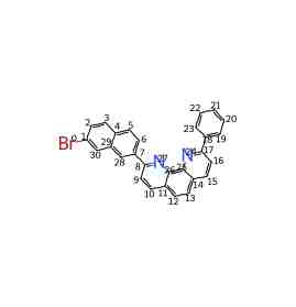 Brc1ccc2ccc(-c3ccc4ccc5ccc(-c6ccccc6)nc5c4n3)cc2c1